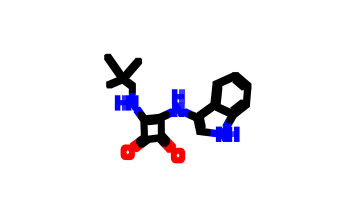 CC(C)(C)CNc1c(Nc2c[nH]c3ccccc23)c(=O)c1=O